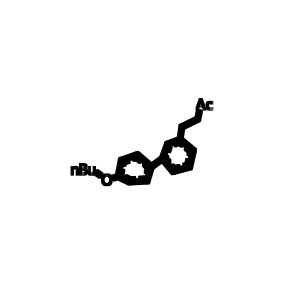 CCCCOc1ccc(-c2cccc(CCC(C)=O)c2)cc1